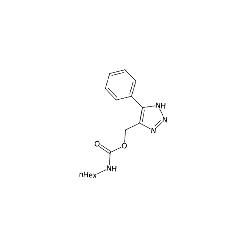 CCCCCCNC(=O)OCc1nn[nH]c1-c1ccccc1